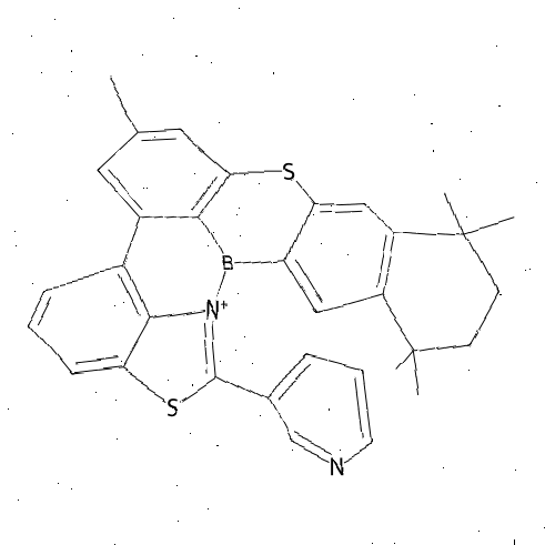 Cc1cc2c3c(c1)-c1cccc4sc(-c5cccnc5)[n+](c14)B3c1cc3c(cc1S2)C(C)(C)CCC3(C)C